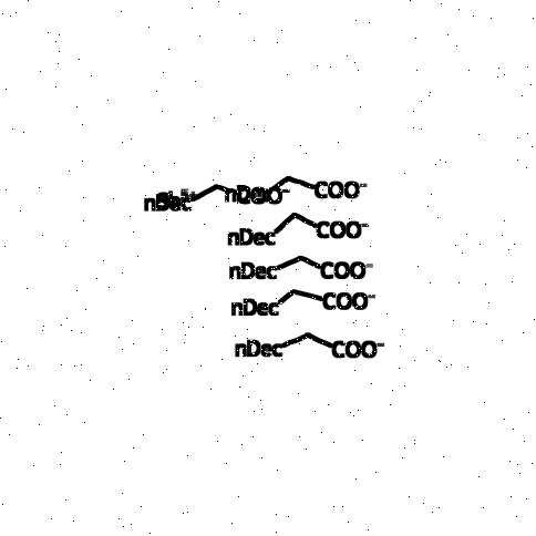 CCCCCCCCCCCC(=O)[O-].CCCCCCCCCCCC(=O)[O-].CCCCCCCCCCCC(=O)[O-].CCCCCCCCCCCC(=O)[O-].CCCCCCCCCCCC(=O)[O-].CCCCCCCCCCCC(=O)[O-].[Sb+5]